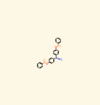 NC(c1ccc(OPc2ccccc2)cc1)c1ccc(OPc2ccccc2)cc1